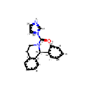 O=C(N1CCc2ccccc2[C@@H]1c1ccccc1)n1ccnc1